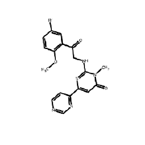 COc1ccc(Br)cc1C(=O)CNc1nc(-c2ccncn2)cc(=O)n1C